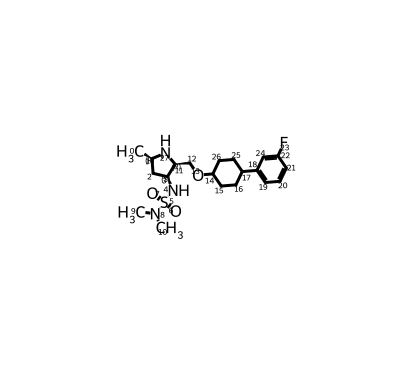 C[C@@H]1C[C@H](NS(=O)(=O)N(C)C)[C@H](COC2CCC(c3cccc(F)c3)CC2)N1